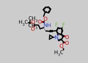 CCOC(=O)c1cn(C2CC2)c2c(C#CC[C@H](CCC(=O)OC(C)(C)C)NC(=O)OCc3ccccc3)c(F)c(F)cc2c1=O